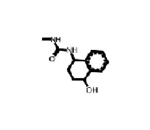 CNC(=O)NC1CCC(O)c2ccccc21